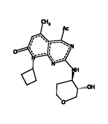 CC(=O)c1nc(N[C@@H]2CCOC[C@H]2O)nc2c1c(C)cc(=O)n2C1CCC1